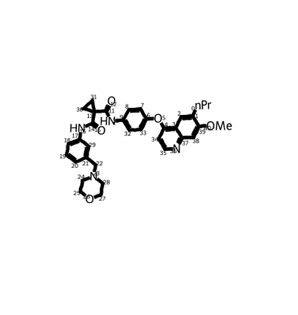 CCCc1cc2c(Oc3ccc(NC(=O)C4(C(=O)Nc5cccc(CN6CCOCC6)c5)CC4)cc3)ccnc2cc1OC